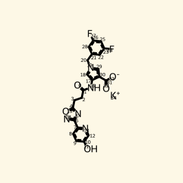 O=C(CCc1nc(-c2ccc(O)cn2)no1)Nc1cn(Cc2cc(F)cc(F)c2)cc1C(=O)[O-].[K+]